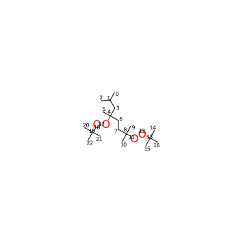 CC(C)CC(C)(CCC(C)(C)OOC(C)(C)C)OOC(C)(C)C